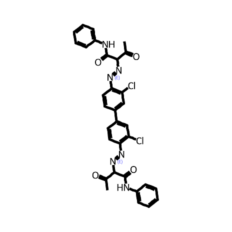 CC(=O)C(/N=N/c1ccc(-c2ccc(/N=N/C(C(C)=O)C(=O)Nc3ccccc3)c(Cl)c2)cc1Cl)C(=O)Nc1ccccc1